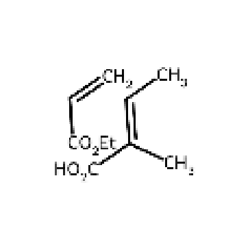 C=CC(=O)OCC.CC=C(C)C(=O)O